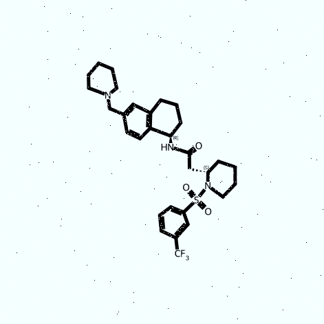 O=C(C[C@@H]1CCCCN1S(=O)(=O)c1cccc(C(F)(F)F)c1)N[C@@H]1CCCc2cc(CN3CCCCC3)ccc21